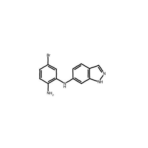 Nc1ccc(Br)cc1Nc1ccc2cn[nH]c2c1